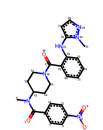 CN(C(=O)c1ccc([N+](=O)[O-])cc1)C1CCN(C(=O)c2ccccc2Nc2ccnn2C)CC1